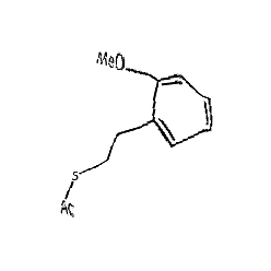 COc1ccccc1CCSC(C)=O